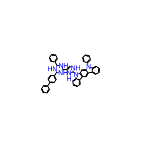 C1=C(C2NC(c3ccccc3)NC(c3ccc(-c4ccccc4)cc3)N2)NC(n2c3ccccc3c3cc4c5ccccc5n(-c5ccccc5)c4cc32)N1